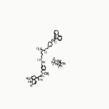 C[C@H](Cc1cccc(CC(=O)NCCCCN(C)C(=O)CCN2CCC(OC(=O)Nc3ccccc3-c3ccccc3)CC2)c1)NC[C@H](O)c1ccc(O)c2[nH]c(=O)ccc12.O=C(O)C(F)(F)F.O=C(O)C(F)(F)F